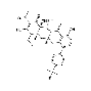 CC(=O)C1=C(O)C(C(C)C)[C@@]2(C)C[C@@]3(C)Cc4c(-c5ccc(C(C)(C)F)cc5)ccc(O)c4C(=O)C3=C(O)[C@@]2(O)C1=O